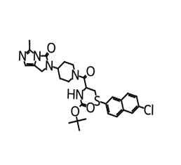 Cc1ncc2n1C(=O)N(C1CCN(C(=O)C(CSc3ccc4cc(Cl)ccc4c3)NC(=O)OC(C)(C)C)CC1)C2